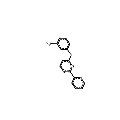 Bc1cccc(Sc2ccnc(-c3ccccn3)n2)c1